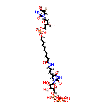 O=C(CCCCCCCCCOP(=O)(O)OCC1OC(n2cc(Br)c(=O)[nH]c2=O)CC1O)NC/C=C/c1cn(C2OC(COP(=O)(O)OP(=O)(O)OP(=O)(O)O)C(O)C2O)c(=O)[nH]c1=O